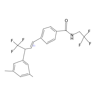 Cc1cc(C)cc(C(/C=C/c2ccc(C(=O)NCC(F)(F)F)cc2)C(F)(F)F)c1